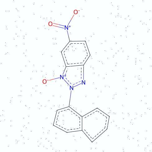 O=[N+]([O-])c1ccc2nn(-c3cccc4ccccc34)[n+]([O-])c2c1